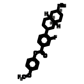 CCCC[C@H]1CC[C@@H]2CC(c3ccc(C(=O)Oc4ccc(OC(F)(F)F)cc4)cc3F)CC[C@H]2C1